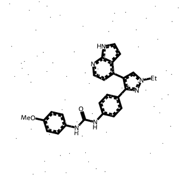 CCn1cc(-c2ccnc3[nH]ccc23)c(-c2ccc(NC(=O)Nc3ccc(OC)cc3)cc2)n1